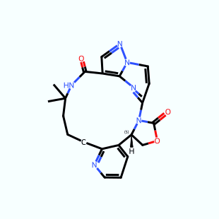 CC1(C)CCCc2ncccc2[C@H]2COC(=O)N2c2ccn3ncc(c3n2)C(=O)N1